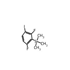 C[Si](C)(C)c1c(F)ccc(I)c1F